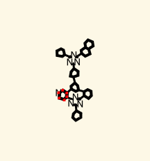 c1ccc(-c2nc(-c3ccc(-c4cc(-c5cccnc5)cc(-c5ccccc5-c5nc(-c6ccccc6)nc(-c6ccccc6)n5)c4)cc3)nc(-c3ccc4ccccc4c3)n2)cc1